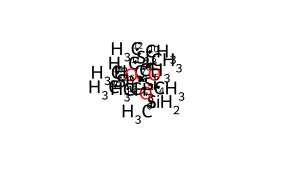 C[SiH2]O[Si](C)(OC(C)(C)[Si](C)(C)C)C(C)(C)O[Si](C)(C)C